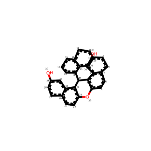 Oc1ccc2ccc3c(c2c1)C(c1cccc2ccccc12)c1c(ccc2ccc(O)cc12)O3